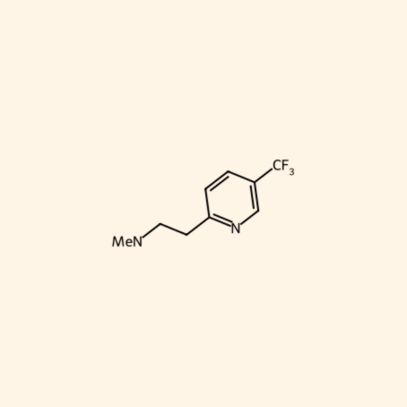 CNCCc1ccc(C(F)(F)F)cn1